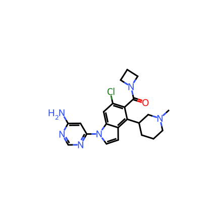 CN1CCCC(c2c(C(=O)N3CCC3)c(Cl)cc3c2ccn3-c2cc(N)ncn2)C1